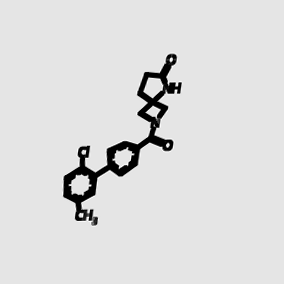 Cc1ccc(Cl)c(-c2ccc(C(=O)N3CC4(CCC(=O)N4)C3)cc2)c1